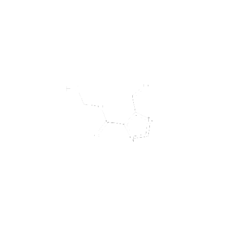 CCOC(=O)c1nc[nH]c1C=O